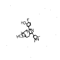 Cc1cc(-c2nc(-c3ccc(F)c(O)c3)n3c2CCO[C@H](C)C3)cc(C)n1.Cl